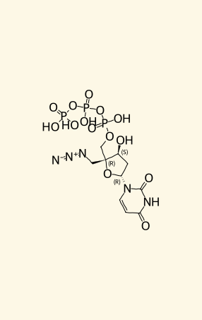 [N-]=[N+]=NC[C@]1(COP(=O)(O)OP(=O)(O)OP(=O)(O)O)O[C@@H](n2ccc(=O)[nH]c2=O)C[C@@H]1O